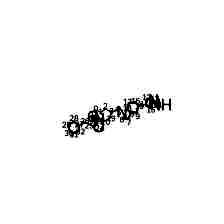 CC1CC(Cn2ccc3cc(-c4cn[nH]c4)ccc32)CCN1S(=O)(=O)CCc1ccccc1